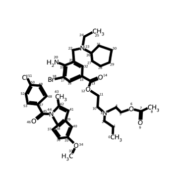 CCCN(CCOC(C)=O)CCOC(=O)c1cc(Br)c(N)c(CN(CC)C2CCCCC2)c1.COc1ccc2c(c1)cc(C)n2C(=O)c1ccc(Cl)cc1